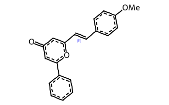 COc1ccc(/C=C/c2cc(=O)cc(-c3ccccc3)o2)cc1